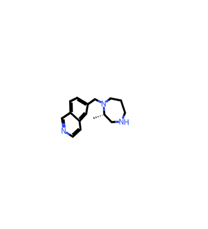 C[C@H]1CNCCCN1Cc1ccc2cnccc2c1